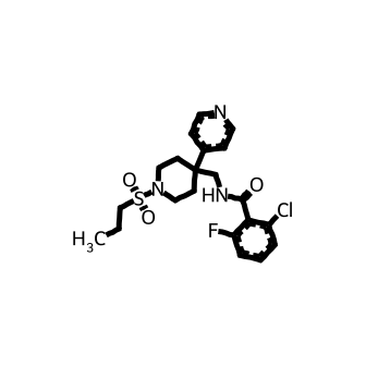 CCCS(=O)(=O)N1CCC(CNC(=O)c2c(F)cccc2Cl)(c2ccncc2)CC1